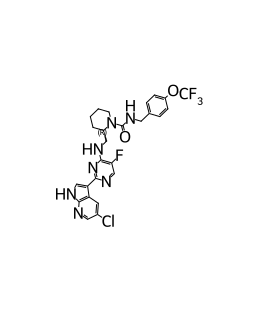 O=C(NCc1ccc(OC(F)(F)F)cc1)N1CCCC[C@@H]1CNc1nc(-c2c[nH]c3ncc(Cl)cc23)ncc1F